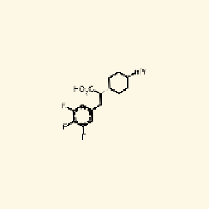 CCC[C@H]1CC[C@H](C(Cc2cc(F)c(F)c(F)c2)C(=O)O)CC1